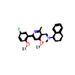 CCOc1ccc(F)cc1-c1cc(OCC)c(CN(C)C2CCCc3ccccc32)c(C)n1